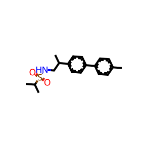 Cc1ccc(-c2ccc(C(C)CNS(=O)(=O)C(C)C)cc2)cc1